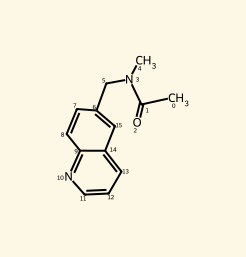 CC(=O)N(C)Cc1ccc2ncccc2c1